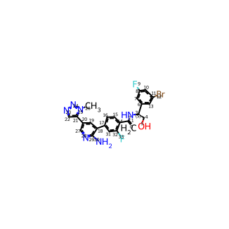 C=C(N[C@H](CO)c1cc(F)cc(Br)c1)c1ccc(-c2cc(-c3cnnn3C)cnc2N)cc1F